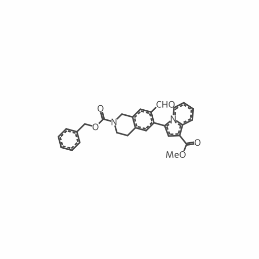 COC(=O)c1cc(-c2cc3c(cc2C=O)CN(C(=O)OCc2ccccc2)CC3)n2ccccc12